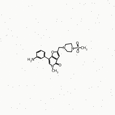 Cn1cc(-c2cccc(N)c2)c2oc(CN3CCN(S(C)(=O)=O)CC3)cc2c1=O